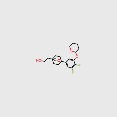 OCCC12CCC(c3cc(F)c(F)c(OC4CCCCO4)c3)(CC1)OC2